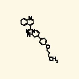 CCCCOc1ccc(-c2ccn3c(-c4ccnc5ccccc45)nnc3c2)cc1